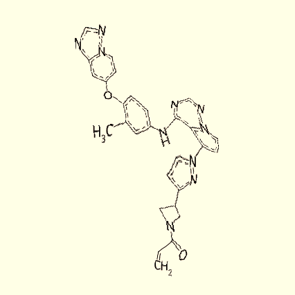 C=CC(=O)N1CC(c2ccn(-c3ccn4ncnc(Nc5ccc(Oc6ccn7ncnc7c6)c(C)c5)c34)n2)C1